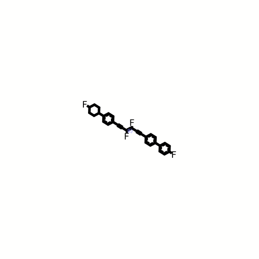 F/C(C#Cc1ccc(-c2ccc(F)cc2)cc1)=C(/F)C#Cc1ccc(C2CCC(F)CC2)cc1